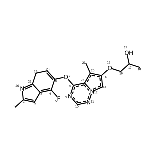 CC1=CC2=C(F)C(Oc3ncnn4cc(OCC(C)O)c(C)c34)=CCC2=N1